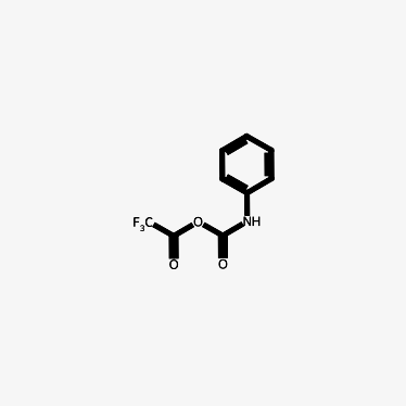 O=C(Nc1ccccc1)OC(=O)C(F)(F)F